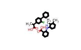 CC(C(=O)O)c1ccc(-c2ccccc2)c(F)c1.Cc1cccc(Nc2ccccc2C(=O)O)c1C